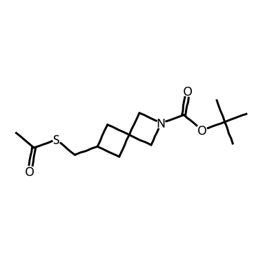 CC(=O)SCC1CC2(C1)CN(C(=O)OC(C)(C)C)C2